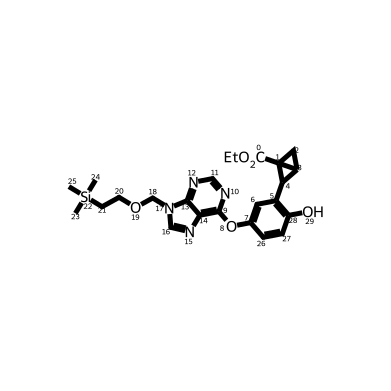 CCOC(=O)C12CC1C2c1cc(Oc2ncnc3c2ncn3COCC[Si](C)(C)C)ccc1O